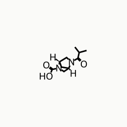 CC(C)C(=O)N1C[C@@H]2C[C@H]1CN2C(=O)O